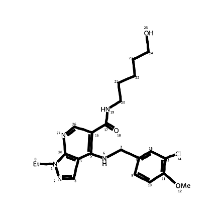 CCn1ncc2c(NCc3ccc(OC)c(Cl)c3)c(C(=O)NCCCCCO)cnc21